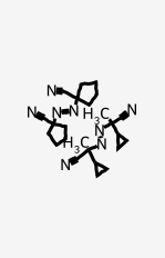 CC(C#N)(N=NC(C)(C#N)C1CC1)C1CC1.N#CC1(N=NC2(C#N)CCCC2)CCCC1